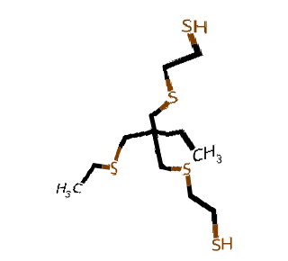 CCSCC(CC)(CSCCS)CSCCS